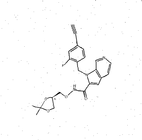 C#Cc1ccc(Cn2c(C(=O)NOC[C@H]3COC(C)(C)O3)cc3ccncc32)c(F)c1